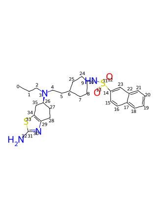 CCCN(CCC1CCC(NS(=O)(=O)c2ccc3ccccc3c2)CC1)[C@H]1CCc2nc(N)sc2C1